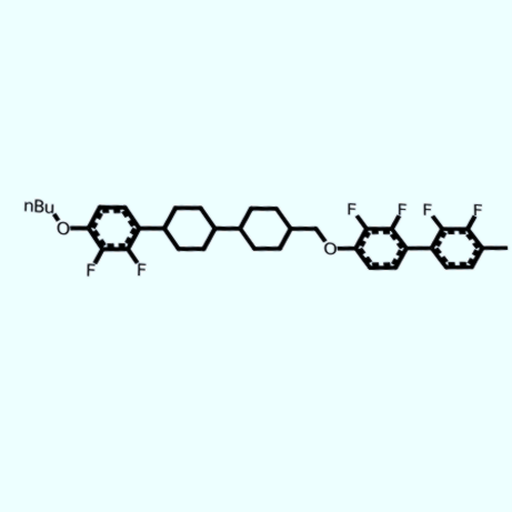 CCCCOc1ccc(C2CCC(C3CCC(COc4ccc(-c5ccc(C)c(F)c5F)c(F)c4F)CC3)CC2)c(F)c1F